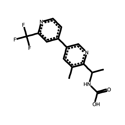 Cc1cc(-c2ccnc(C(F)(F)F)c2)cnc1C(C)NC(=O)O